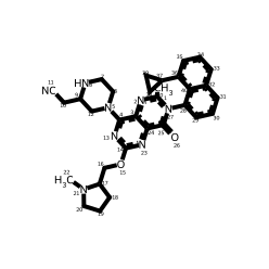 Cc1nc2c(N3CCNC(CC#N)C3)nc(OCC3CCCN3C)nc2c(=O)n1-c1cccc2cccc(C3CC3)c12